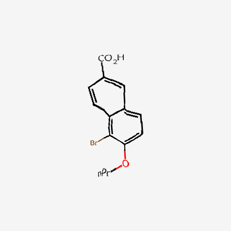 CCCOc1ccc2cc(C(=O)O)ccc2c1Br